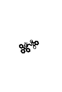 O=C1c2ccccc2C(=O)N1CCc1cn(C(c2ccccc2)(c2ccccc2)c2ccccc2)cn1